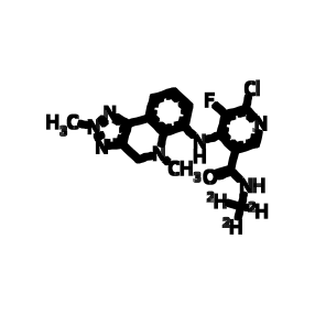 [2H]C([2H])([2H])NC(=O)c1cnc(Cl)c(F)c1Nc1cccc2c1N(C)Cc1nn(C)nc1-2